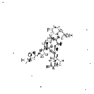 C#Cc1c(F)ccc2cc(O)cc(-c3nc(OC)c4c(N[C@@H]5CC[C@H](c6cc(N)on6)C5)nc(OC[C@@]56CCCN5C[C@H](F)C6)nc4c3F)c12